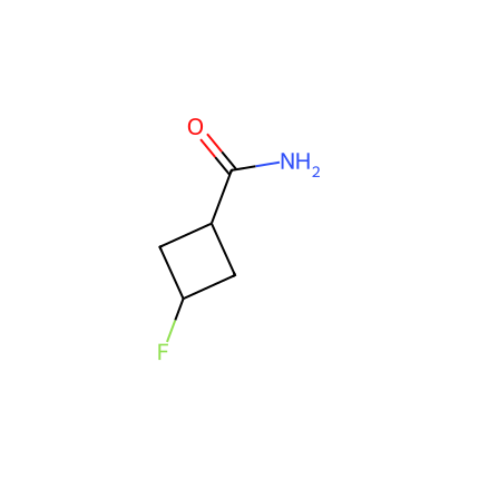 NC(=O)C1CC(F)C1